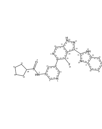 O=C(Nc1cncc(-c2ncc3[nH]nc(-c4nc5ccccc5[nH]4)c3c2F)c1)C1CCCC1